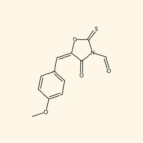 COc1ccc(/C=C2/OC(=S)N(C=O)C2=O)cc1